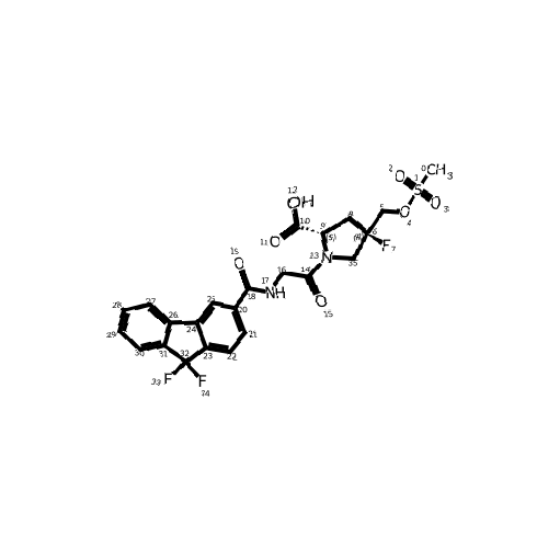 CS(=O)(=O)OC[C@@]1(F)C[C@@H](C(=O)O)N(C(=O)CNC(=O)c2ccc3c(c2)-c2ccccc2C3(F)F)C1